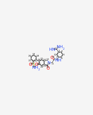 N=C(N)c1cccc(NC(=O)CN2Cc3cc(-c4ccccc4S(N)(=O)=O)ccc3C2=O)c1